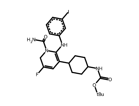 CC(C)(C)OC(=O)NC1CCC(C2=C(Nc3cccc(I)c3)N(C(N)=O)CC(F)=C2)CC1